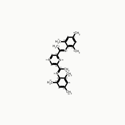 C/C(=N\c1c(C)cc(C)cc1C)c1cncc(/C(C)=N/c2c(C)cc(C)cc2C)n1